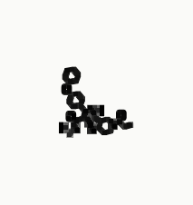 C=CC(=O)N1CCc2nn3c(C(N)=O)c(-c4ccc(Oc5ccccc5)cc4)[nH]c3c2C1